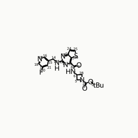 CC(C)(C)OC(=O)N1CC(NC(=O)c2nc(NCc3cncc(F)c3)nc3ccsc23)C1